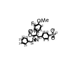 COc1ccc(-c2c(-c3ccc(S(C)(=O)=O)cc3)nn(Cc3ccccc3)c2OC=O)cc1F